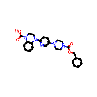 O=C(OCc1ccccc1)N1CCN(c2ccc(N3CCN(C(=O)O)c4ccccc43)nc2)CC1